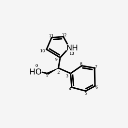 OC[C@H](c1ccccc1)c1ccc[nH]1